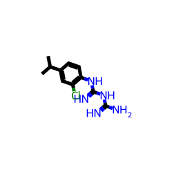 CC(C)c1ccc(NC(=N)NC(=N)N)c(Cl)c1